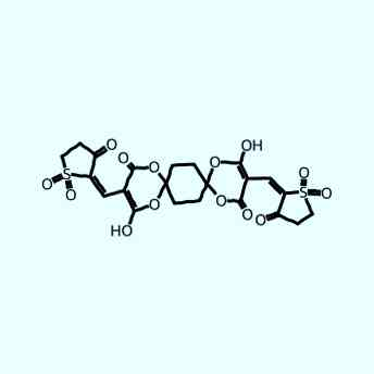 O=C1OC2(CCC3(CC2)OC(=O)C(/C=C2\C(=O)CCS2(=O)=O)=C(O)O3)OC(O)=C1/C=C1\C(=O)CCS1(=O)=O